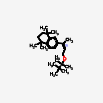 C/C(=C/CO[Si](C)(C)C(C)(C)C)c1ccc2c(c1)C(C)(C)CCC2(C)C